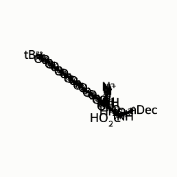 CCCCCCCCCCCCCCCC(=O)N[C@H](CCC(=O)NCCCC[C@@H](NC(=O)CCCCN=[N+]=[N-])C(=O)NCCOCCOCCOCCOCCOCCOCCOCCOCCOCCOCCOCCOCCC(=O)C(C)(C)C)C(=O)O